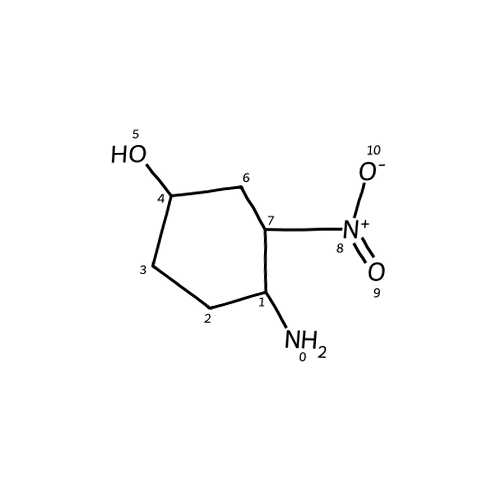 NC1CCC(O)CC1[N+](=O)[O-]